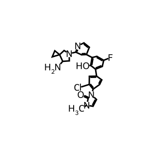 Cn1ccn(-c2ccc(-c3cc(F)cc(-c4ccnc(N5CC(N)C6(CC6)C5)c4)c3O)cc2Cl)c1=O